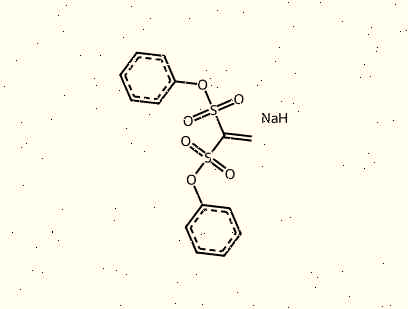 C=C(S(=O)(=O)Oc1ccccc1)S(=O)(=O)Oc1ccccc1.[NaH]